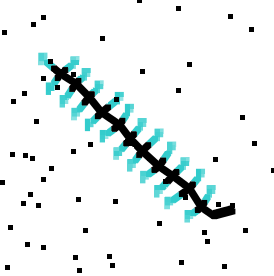 C=CC(F)(F)C(F)(F)C(F)(F)C(F)(F)C(F)(F)C(F)(F)C(F)(F)C(F)(F)C(F)(F)C(F)(F)C(F)(F)F